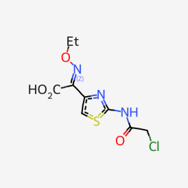 CCO/N=C(\C(=O)O)c1csc(NC(=O)CCl)n1